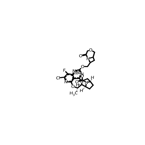 C[C@@H]1Oc2nc(Cl)c(F)c3nc(OCC4CC5COCC(=O)N54)nc(c23)N2C[C@H]3CC[C@@H]([C@@H]12)N3C(=O)OC(C)(C)C